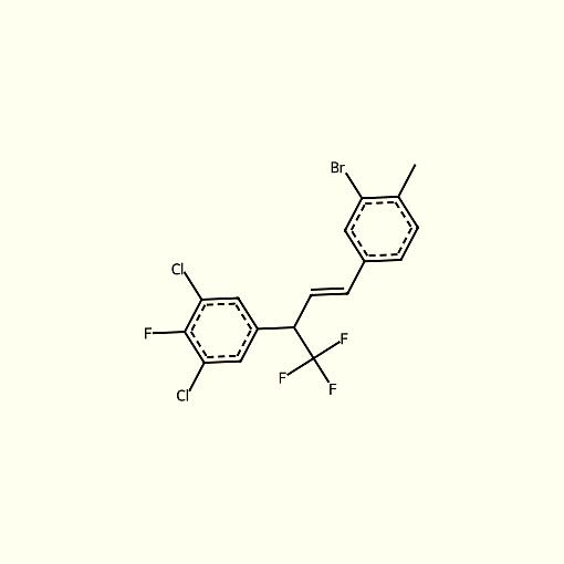 Cc1ccc(/C=C/C(c2cc(Cl)c(F)c(Cl)c2)C(F)(F)F)cc1Br